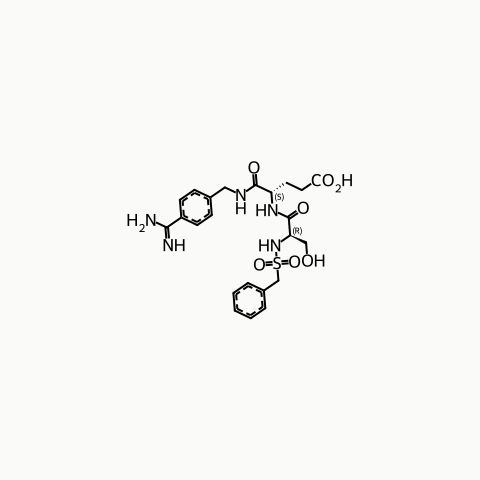 N=C(N)c1ccc(CNC(=O)[C@H](CCC(=O)O)NC(=O)[C@@H](CO)NS(=O)(=O)Cc2ccccc2)cc1